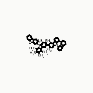 Bc1c(B)c(B)c2c(c1B)c1c(B)c(-c3ccc4c(c3)c3cccc(-c5ccccc5)c3n4-c3ccccc3)c(B)c(B)c1n2-c1ccc2c(c1)oc1ccccc12